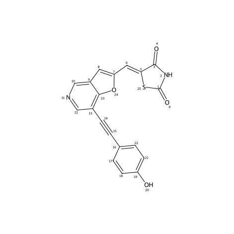 O=C1NC(=O)C(=Cc2cc3cncc(C#Cc4ccc(O)cc4)c3o2)S1